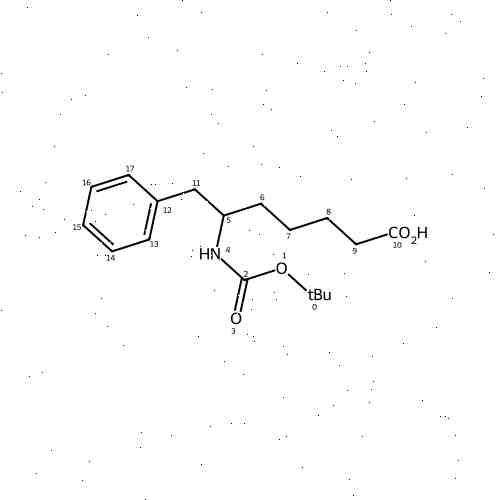 CC(C)(C)OC(=O)NC(CCCCC(=O)O)Cc1ccccc1